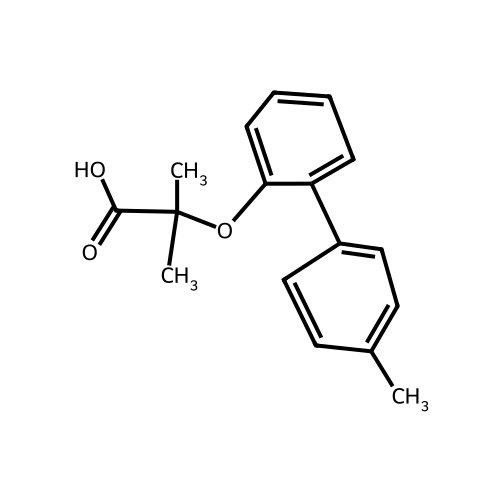 Cc1ccc(-c2ccccc2OC(C)(C)C(=O)O)cc1